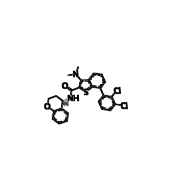 CN(C)c1c(C(=O)N[C@H]2CCOc3ccccc32)sc2c(-c3cccc(Cl)c3Cl)cccc12